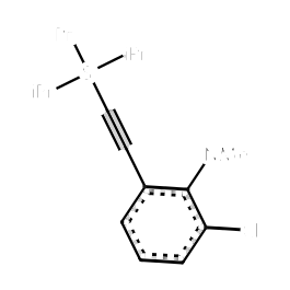 CNc1c(Cl)cccc1C#C[Si](C(C)C)(C(C)C)C(C)C